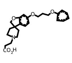 O=C(O)CCN1CCC2(CC1)COc1cc(OCCCOc3ccccc3)ccc12